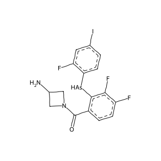 NC1CN(C(=O)c2ccc(F)c(F)c2[AsH]c2ccc(I)cc2F)C1